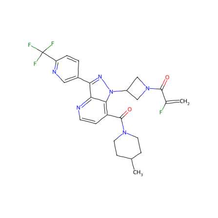 C=C(F)C(=O)N1CC(n2nc(-c3ccc(C(F)(F)F)nc3)c3nccc(C(=O)N4CCC(C)CC4)c32)C1